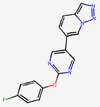 Fc1ccc(Oc2ncc(-c3ccc4cnnn4c3)cn2)cc1